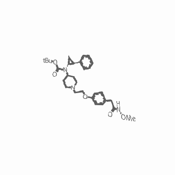 CONC(=O)Cc1ccc(OCCN2CCC(N(C(=O)OC(C)(C)C)[C@@H]3C[C@H]3c3ccccc3)CC2)cc1